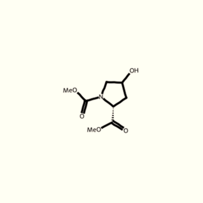 COC(=O)[C@H]1CC(O)CN1C(=O)OC